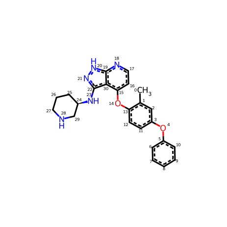 Cc1cc(Oc2ccccc2)ccc1Oc1ccnc2[nH]nc(N[C@@H]3CCCNC3)c12